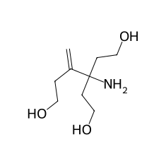 C=C(CCO)C(N)(CCO)CCO